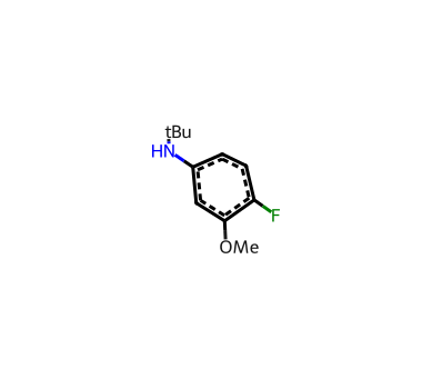 COc1cc(NC(C)(C)C)ccc1F